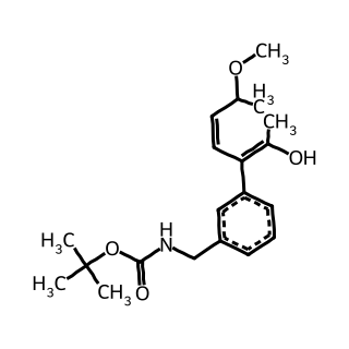 COC(C)/C=C\C(=C(/C)O)c1cccc(CNC(=O)OC(C)(C)C)c1